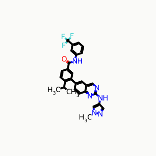 CC(C)c1ccc(C(=O)Nc2cccc(C(F)(F)F)c2)cc1-c1ccc2nc(Nc3cnn(C)c3)ncc2c1